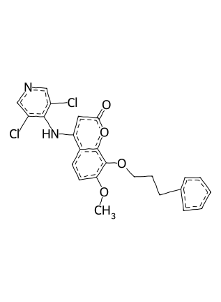 COc1ccc2c(Nc3c(Cl)cncc3Cl)cc(=O)oc2c1OCCCc1ccccc1